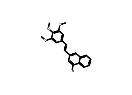 COc1cc(C=Cc2cc(O)c3ccccc3c2)cc(OC)c1OC